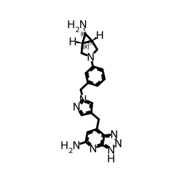 Nc1cc(Cc2cnn(Cc3cccc(N4C[C@@H]5[C@H](N)[C@@H]5C4)c3)c2)c2nn[nH]c2n1